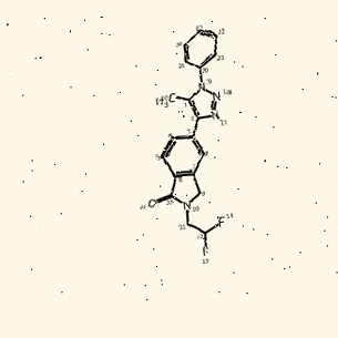 Cc1c(-c2ccc3c(c2)CN(CC(F)F)C3=O)nnn1-c1ccccc1